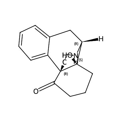 O=C1CCC[C@@]2(O)[C@H]3Cc4ccccc4[C@@]12CCN3